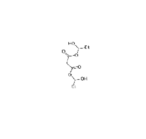 CCC(O)OC(=O)CC(=O)OC(O)CC